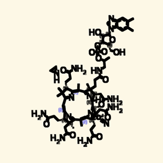 C/C1=C2N=C(/C=C3N=C(/C(C)=C4/[C@@H](CCC(N)=O)[C@](C)(CC(N)=O)[C@](C)([C@@H]5N=C1[C@](C)(CCC(=O)NCC(C)OP(=O)([O-])O[C@H]1[C@@H](O)[C@@H](n6cnc7cc(C)c(C)cc76)O[C@@H]1CO)[C@H]5CC(N)=O)[N]4[Co+][C]#N)[C@@](C)(CC(N)=O)[C@@H]\3CCC(N)=O)C(C)(C)[C@@H]/2CCC(N)=O.C1CN1